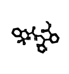 COC(=O)c1ccccc1C(CNC(=O)C1=Nc2ccccc2S(=O)(=O)N1)c1ncco1